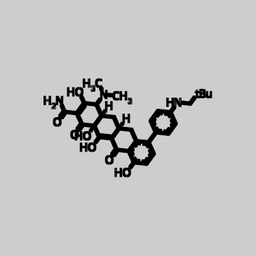 CN(C)C1C(O)=C(C(N)=O)C(=O)[C@@]2(O)C(O)=C3C(=O)c4c(O)ccc(-c5ccc(NCC(C)(C)C)cc5)c4C[C@H]3C[C@@H]12